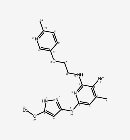 [C-]#[N+]c1c(C)cc(Nc2cc(OCC)[nH]n2)nc1NCCOc1ccc(C)nc1